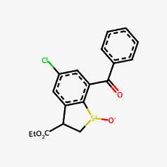 CCOC(=O)C1C[S+]([O-])c2c(C(=O)c3ccccc3)cc(Cl)cc21